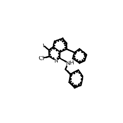 Clc1nc(NCc2ccccc2)c2c(-c3ccccc3)cccc2c1I